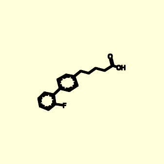 O=C(O)CCCCc1ccc(-c2ccccc2F)cc1